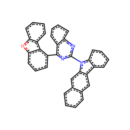 c1ccc2cc3c(cc2c1)c1ccccc1n3-c1nc(-c2cccc3oc4ccccc4c23)c2ccccc2n1